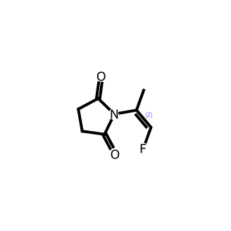 C/C(=C/F)N1C(=O)CCC1=O